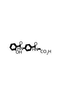 O=C(O)CNC(=O)c1ccc(NC(=O)c2ccccc2O)cc1